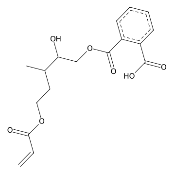 C=CC(=O)OCCC(C)C(O)COC(=O)c1ccccc1C(=O)O